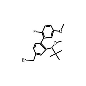 COc1ccc(F)c(-c2ccc(CBr)cc2[C@@H](OC)C(C)(C)C)c1